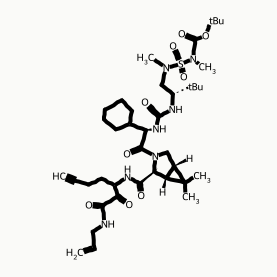 C#CCCC(NC(=O)[C@@H]1[C@@H]2[C@H](CN1C(=O)[C@@H](NC(=O)N[C@H](CN(C)S(=O)(=O)N(C)C(=O)OC(C)(C)C)C(C)(C)C)C1CCCCC1)C2(C)C)C(=O)C(=O)NCC=C